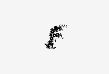 CC[Si](C)(C)c1ccc(N2[C@@H](c3ccc(NC(=O)[C@@H]4CCCN4C(=O)[C@@H](NC(=O)OC)C(C)C)cc3)CC[C@@H]2c2ccc(NC(=O)[C@@H]3CCCN3C(=O)[C@@H](NC(=O)OC)C(C)C)cc2)cc1